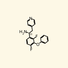 N[C@@H](Cc1ccncc1)c1ccc(F)c(Oc2ccccc2)c1F